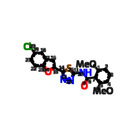 COc1cccc(OC)c1C(=O)Nc1nnc(-c2cc3cc(Cl)ccc3o2)s1